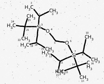 CC(C)[Si](OCO[Si](C(C)C)(C(C)C)C(C)(C)C)(C(C)C)C(C)(C)C